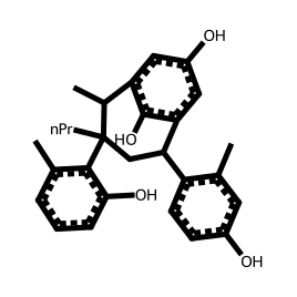 CCCC1(c2c(C)cccc2O)CC(c2ccc(O)cc2C)c2cc(O)cc(c2O)C1C